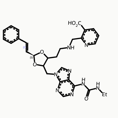 CCNC(=O)Nc1ncnc2c1ncn2CC1O[C@@H](/C=C/c2ccccc2)OC1CCNCc1ncccc1C(=O)O